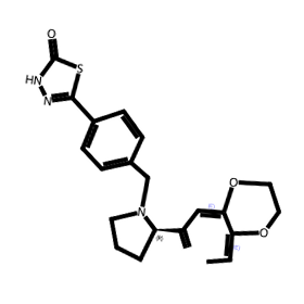 C=C(/C=C1/OCCO/C1=C/C)[C@H]1CCCN1Cc1ccc(-c2n[nH]c(=O)s2)cc1